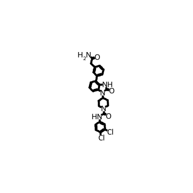 NC(=O)Cc1cccc(-c2cccc3c2[nH]c(=O)n3C2CCN(C(=O)Nc3ccc(Cl)c(Cl)c3)CC2)c1